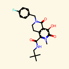 Cn1c(C(=O)NCC(C)(C)C)c2c(c(O)c1=O)C(=O)N(Cc1ccc(F)cc1)CC2